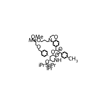 COCCCOCc1ccc([C@@H]2[C@@H](OC(c3ccc4c(c3)N(CCCOC)CCO4)S(=O)(=O)c3ccc(C)cc3)CNC[C@H]2O[Si](C(C)C)(C(C)C)C(C)C)cc1